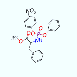 CC(C)OC(=O)C(Cc1ccccc1)NP(=O)(Oc1ccccc1)Oc1ccc([N+](=O)[O-])cc1